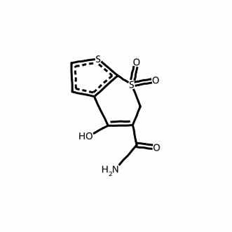 NC(=O)C1=C(O)c2ccsc2S(=O)(=O)C1